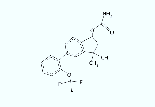 CC1(C)CC(OC(N)=O)c2ccc(-c3ccccc3OC(F)(F)F)cc21